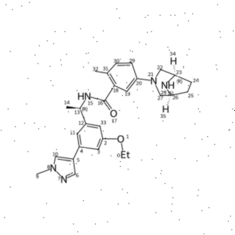 CCOc1cc(-c2cnn(C)c2)cc([C@@H](C)NC(=O)c2cc(N3C[C@H]4CC[C@@H](C3)N4)ccc2C)c1